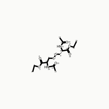 CCOC(=O)C(CSSC[C@H](NC(C)=O)C(=O)OCC)NC(C)=O